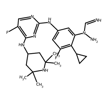 CC1(C)CC(Nc2nc(Nc3cc(F)c(C4CC4)c(N(N)C=N)c3)ncc2F)CC(C)(C)N1